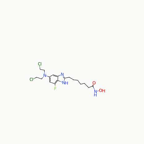 O=C(CCCCCCc1nc2cc(N(CCCl)CCCl)cc(F)c2[nH]1)NO